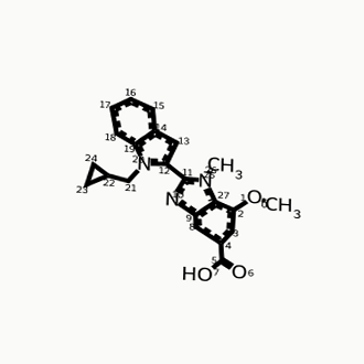 COc1cc(C(=O)O)cc2nc(-c3cc4ccccc4n3CC3CC3)n(C)c12